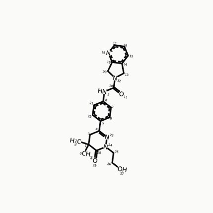 CC1(C)CC(c2ccc(NC(=O)N3Cc4cccnc4C3)cc2)=NN(CCO)C1=O